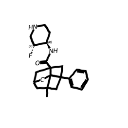 CC12CC3CC4(C(=O)N[C@@H]5CCNC[C@H]5F)CC(c5ccccc5)(C1)C24C3